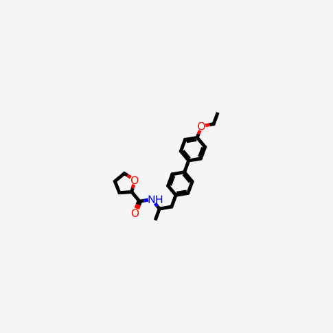 CCOc1ccc(-c2ccc(CC(C)NC(=O)C3CCCO3)cc2)cc1